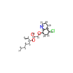 C=CC(CCCCC)OC(=O)COc1ccc(Cl)c2cccnc12